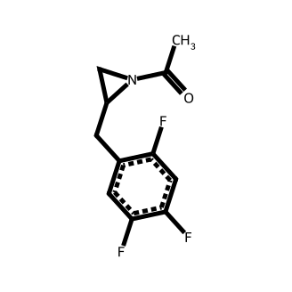 CC(=O)N1CC1Cc1cc(F)c(F)cc1F